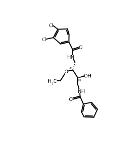 CCO[C@H](CNC(=O)c1ccc(Cl)c(Cl)c1)[C@@H](O)CNC(=O)c1ccccc1